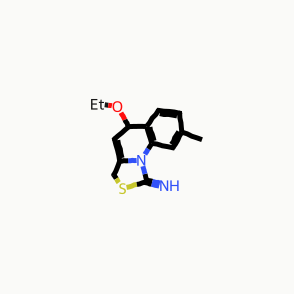 CCOC1C=C2CSC(=N)N2c2cc(C)ccc21